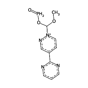 COC(O[PH2]=O)[n+]1ccc(-c2ncccn2)cn1